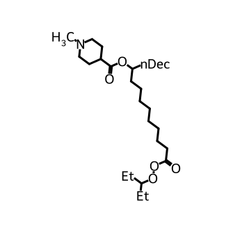 CCCCCCCCCCC(CCCCCCCCC(=O)OOC(CC)CC)OC(=O)C1CCN(C)CC1